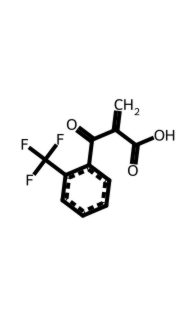 C=C(C(=O)O)C(=O)c1ccccc1C(F)(F)F